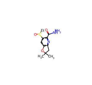 CC[S+]([O-])c1cc2c(nc1C(=O)NN)CC(C)(C)O2